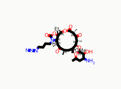 CC[C@H]1OC(=O)[C@H](C)C(=O)[C@H](C)[C@@H](O[C@@H]2OC(C)CC(N)C2O)[C@](C)(OC)C[C@@H](C)C(=O)[C@H](C)[C@H]2N(CCCCN=[N+]=[N-])C(=O)O[C@]12C